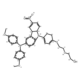 COc1ccc(N(c2ccc(OC)cc2)c2ccc3c(c2)C2C=C([N+](=O)[O-])C=CC2N3C2=CC=C(OCCOCCO)CC2)cc1